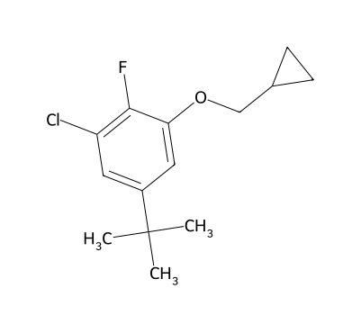 CC(C)(C)c1cc(Cl)c(F)c(OCC2CC2)c1